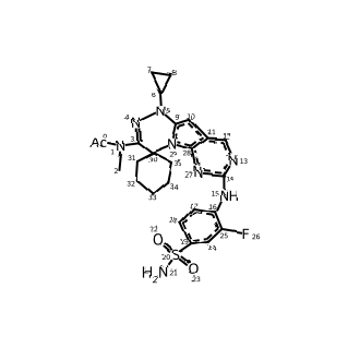 CC(=O)N(C)C1=NN(C2CC2)c2cc3cnc(Nc4ccc(S(N)(=O)=O)cc4F)nc3n2C12CCCCC2